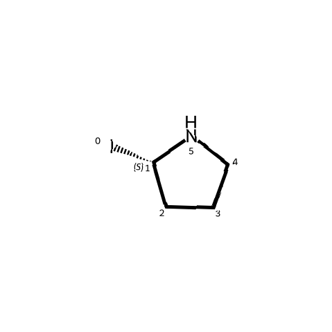 I[C@H]1CCCN1